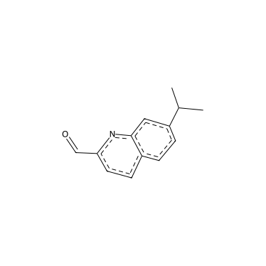 CC(C)c1ccc2ccc(C=O)nc2c1